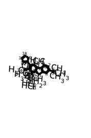 Cc1cc(C(C)(C)C)cc2c1-c1c(C)c(C3=CC=CC3)c(C(C)(C)C)[c]([Zr]([CH3])([CH3])=[SiH2])c1C2.Cl.Cl